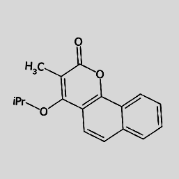 Cc1c(OC(C)C)c2ccc3ccccc3c2oc1=O